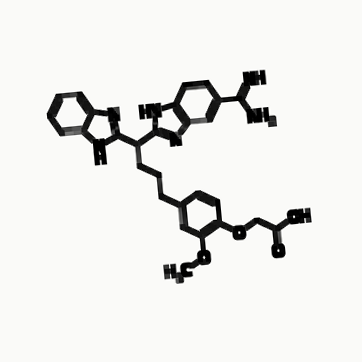 COc1cc(CCCC(c2nc3ccccc3[nH]2)c2nc3cc(C(=N)N)ccc3[nH]2)ccc1OCC(=O)O